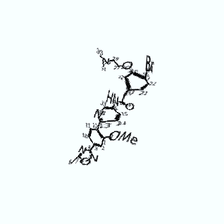 COc1cc(-c2noc(C)n2)ccc1-c1ccc(NC(=O)c2ccc(Br)c(OCCN(C)C)c2)cn1